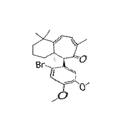 COc1cc(Br)c([C@@H]2C(=O)C(C)=CC=C3C(C)(C)CCC[C@@]32C)cc1OC